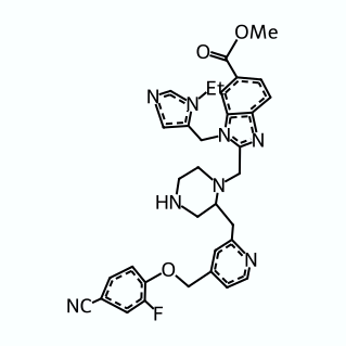 CCn1cncc1Cn1c(CN2CCNCC2Cc2cc(COc3ccc(C#N)cc3F)ccn2)nc2ccc(C(=O)OC)cc21